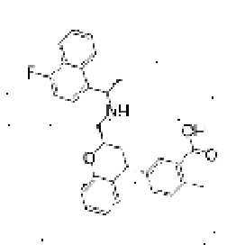 Cc1ccc([C@H]2C[C@H](CN[C@H](C)c3ccc(F)c4ccccc34)Oc3ccccc32)cc1C(=O)O